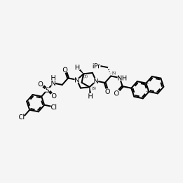 CC(C)C[C@H](NC(=O)c1ccc2ccccc2c1)C(=O)N1C[C@@H]2C[C@H]1CN2C(=O)CNS(=O)(=O)c1ccc(Cl)cc1Cl